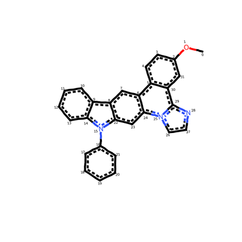 COc1ccc2c3cc4c5ccccc5n(-c5ccccc5)c4cc3n3ccnc3c2c1